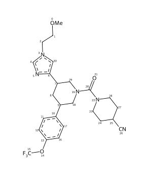 COCCn1cnc(C2CC(c3ccc(OC(F)(F)F)cc3)CN(C(=O)N3CCC(C#N)CC3)C2)c1